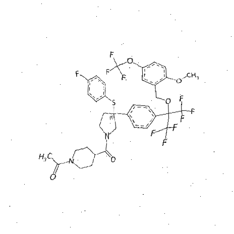 COc1ccc(OC(F)(F)F)cc1COC(c1ccc([C@]2(Sc3ccc(F)cc3)CCN(C(=O)C3CCN(C(C)=O)CC3)C2)cc1)(C(F)(F)F)C(F)(F)F